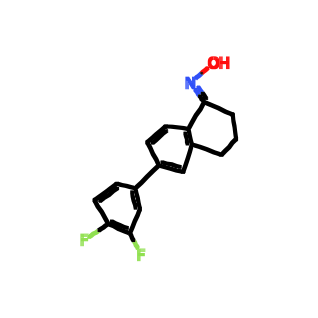 O/N=C1\CCCc2cc(-c3ccc(F)c(F)c3)ccc21